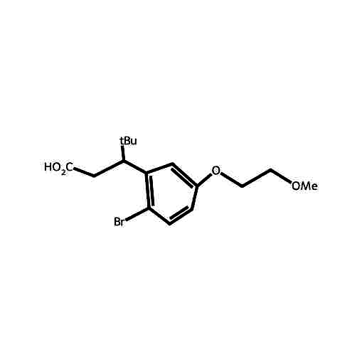 COCCOc1ccc(Br)c(C(CC(=O)O)C(C)(C)C)c1